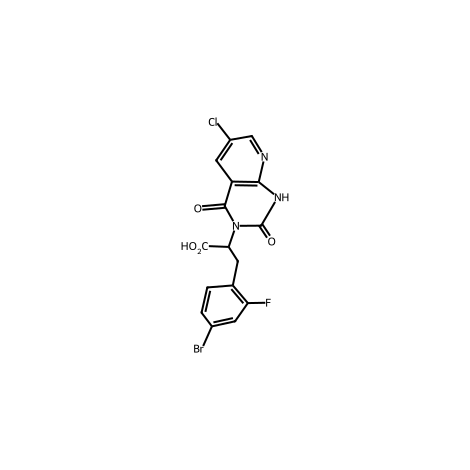 O=C(O)C(Cc1ccc(Br)cc1F)n1c(=O)[nH]c2ncc(Cl)cc2c1=O